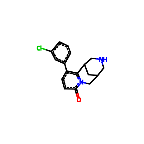 O=c1ccc(-c2cccc(Cl)c2)c2n1CC1CNCC2C1